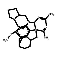 COc1ccc([N+]2(CC3CCCCC3)C(N)=NC(N)=NC2N2CCN3CCCC3C2)cc1F